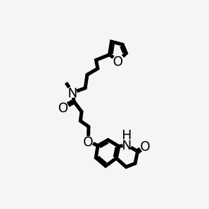 CN(CCCCc1ccco1)C(=O)CCCOc1ccc2c(c1)NC(=O)CC2